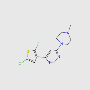 CN1CCN(c2cc(-c3cc(Cl)sc3Cl)ncn2)CC1